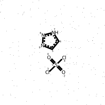 O=S(=O)(Cl)Cl.c1c[nH]nn1